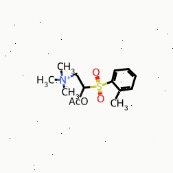 CC(=O)OC(C[N+](C)(C)C)S(=O)(=O)c1ccccc1C